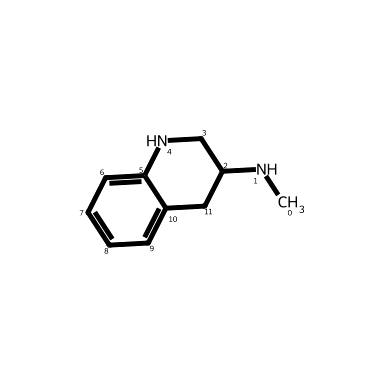 CNC1CNc2ccccc2C1